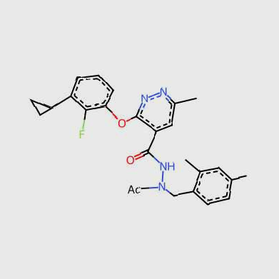 CC(=O)N(Cc1ccc(C)cc1C)NC(=O)c1cc(C)nnc1Oc1cccc(C2CC2)c1F